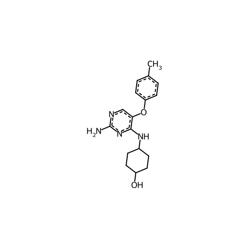 Cc1ccc(Oc2cnc(N)nc2NC2CCC(O)CC2)cc1